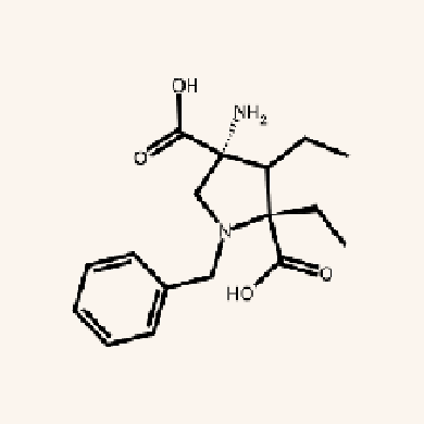 CCC1[C@](N)(C(=O)O)CN(Cc2ccccc2)[C@@]1(CC)C(=O)O